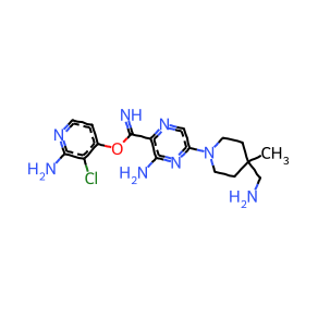 CC1(CN)CCN(c2cnc(C(=N)Oc3ccnc(N)c3Cl)c(N)n2)CC1